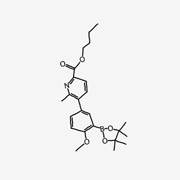 CCCCOC(=O)c1ccc(-c2ccc(OC)c(B3OC(C)(C)C(C)(C)O3)c2)c(C)n1